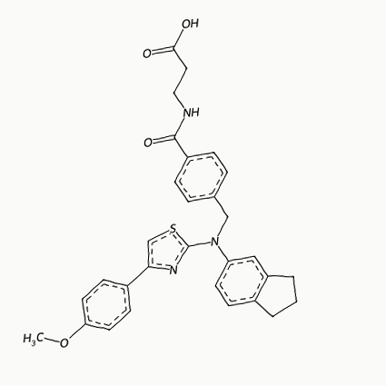 COc1ccc(-c2csc(N(Cc3ccc(C(=O)NCCC(=O)O)cc3)c3ccc4c(c3)CCC4)n2)cc1